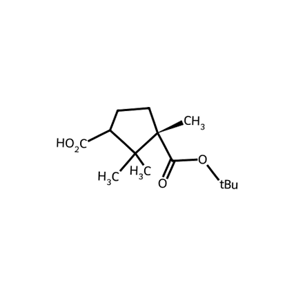 CC(C)(C)OC(=O)[C@@]1(C)CCC(C(=O)O)C1(C)C